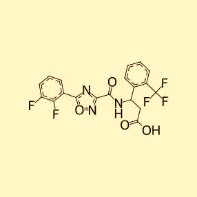 O=C(O)CC(NC(=O)c1noc(-c2cccc(F)c2F)n1)c1ccccc1C(F)(F)F